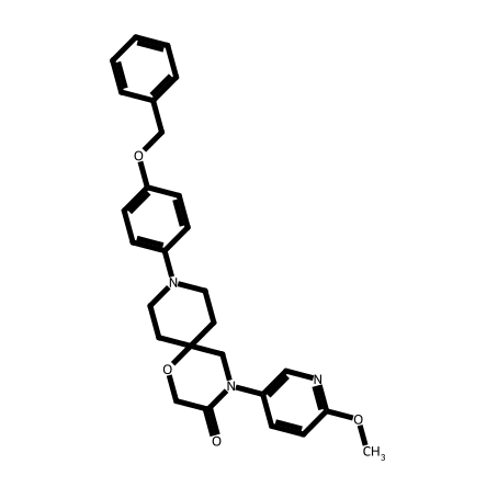 COc1ccc(N2CC3(CCN(c4ccc(OCc5ccccc5)cc4)CC3)OCC2=O)cn1